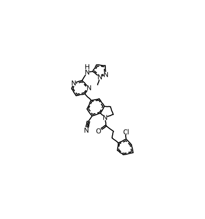 Cn1nccc1Nc1nccc(-c2cc(C#N)c3c(c2)CCN3C(=O)CCc2ccccc2Cl)n1